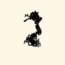 CCCCCNc1nc(N)nc2ccn(Cc3ccc(CN4CCN(C(=O)CCNC(=O)C[C@H](SC[C@H](N)C(=O)O)C(=O)O)CC4)cc3OC)c12